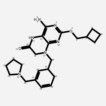 Nc1nc(OCC2CCC2)nc2c1NC(=O)CN2CC1C=C(CN2CCCC2)C=CC1